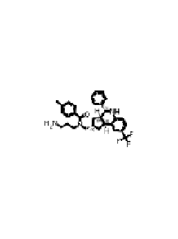 Cc1ccc(C(=O)N(CCCN)C[C@@H]2C[C@@H]3[C@H](C2)c2cc(C(F)(F)F)ccc2N[C@H]3c2ccccc2)cc1